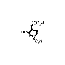 CCOC(=O)CC1CCN(C(=O)O)CC1O